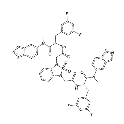 CN(C(=O)C(Cc1cc(F)cc(F)c1)NC(=O)CN1c2ccccc2N(CC(=O)N[C@@H](Cc2cc(F)cc(F)c2)C(=O)N(C)c2ccc3sncc3c2)S1(=O)=O)c1ccc2sncc2c1